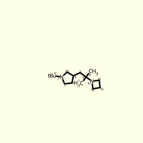 CC(C)(C)N1CCC(CC(C)(C)N2CCC2)C1